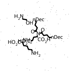 CCCCCCCCCCCCCC(=O)N(C(=O)CCCCCCCCCCCCC)[C@@H](CCC(=O)O)C(=O)O.NCCCC[C@H](N)C(=O)O.NCCO